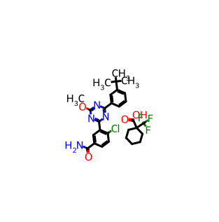 COc1nc(-c2cccc(C(C)(C)C)c2)nc(-c2cc(C(N)=O)ccc2Cl)n1.O=C(O)C1(C(F)(F)F)CCCCC1